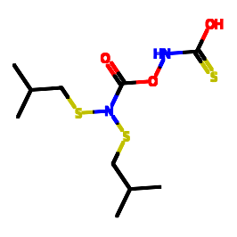 CC(C)CSN(SCC(C)C)C(=O)ONC(O)=S